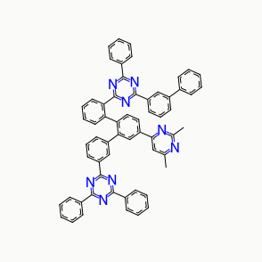 Cc1cc(-c2ccc(-c3ccccc3-c3nc(-c4ccccc4)nc(-c4cccc(-c5ccccc5)c4)n3)c(-c3cccc(-c4nc(-c5ccccc5)nc(-c5ccccc5)n4)c3)c2)nc(C)n1